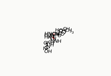 CC1(C)CCOc2c(C(=O)N[C@H]3CN4C(=N)N[C@@H](CNC(=O)c5cnc(O)cn5)C5NC(=N)N(O)C54[C@@]3(C)O)cccc21